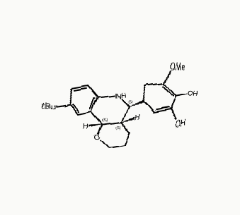 COC1=C(O)C(O)=CC([C@@H]2Nc3ccc(C(C)(C)C)cc3[C@H]3OCCC[C@H]32)C1